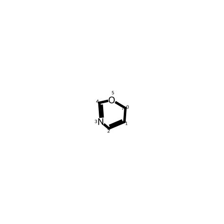 [C]1C=CN=CO1